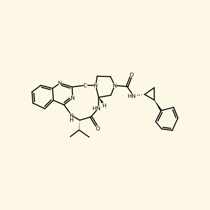 CC(C)[C@@H]1Nc2nc(nc3ccccc23)CN2CCN(C(=O)N[C@@H]3C[C@H]3c3ccccc3)C[C@@H]2NC1=O